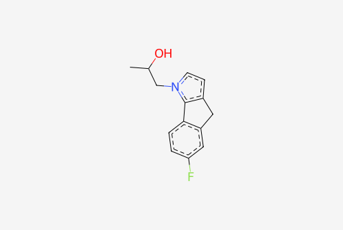 CC(O)Cn1ccc2c1-c1ccc(F)cc1C2